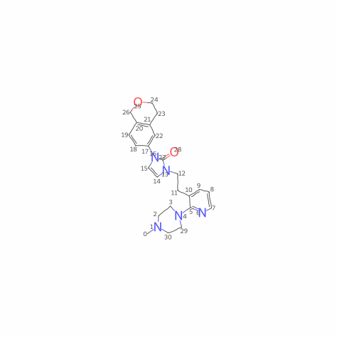 CN1CCN(c2ncccc2CCn2ccn(-c3ccc4c(c3)CCOC4)c2=O)CC1